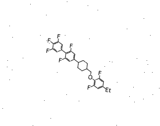 CCc1cc(F)c(OCC2CCC(c3cc(F)c(-c4cc(F)c(F)c(F)c4)c(F)c3)CC2)c(F)c1